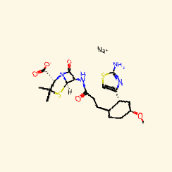 CO[C@H]1CCC(CCC(=O)N[C@@H]2C(=O)N3[C@@H]2SC(C)(C)[C@@H]3C(=O)[O-])[C@H](c2csc(N)n2)C1.[Na+]